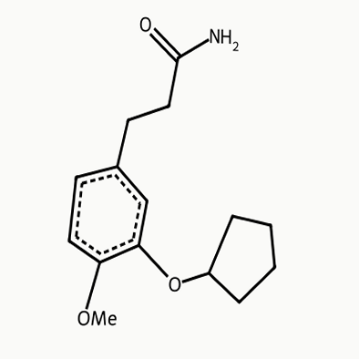 COc1ccc(CCC(N)=O)cc1OC1CCCC1